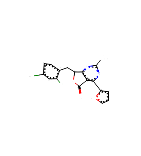 COc1nc(-c2ccco2)c2c(n1)C(Cc1ccc(F)cc1Cl)OC2=O